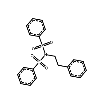 O=S(=O)(c1ccccc1)N(CCc1ccccc1)S(=O)(=O)c1ccccc1